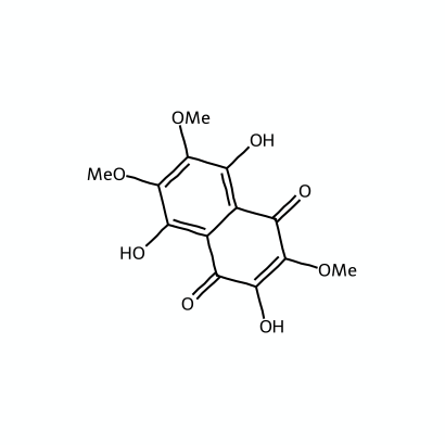 COC1=C(O)C(=O)c2c(O)c(OC)c(OC)c(O)c2C1=O